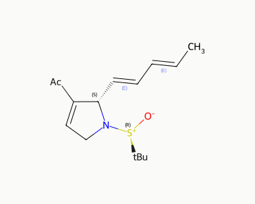 C/C=C/C=C/[C@H]1C(C(C)=O)=CCN1[S@@+]([O-])C(C)(C)C